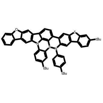 CC(C)(C)c1ccc(N2B3c4cc(C(C)(C)C)ccc4-n4c5cc6c(cc5c5ccc(c3c54)-c3cc4sc5cc(C(C)(C)C)ccc5c4cc32)oc2ccccc26)cc1